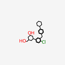 OCC1CC(O)CC(c2ccc(Cl)c(Cc3ccc(C4CCCCC4)cc3)c2)C1